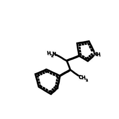 CC(c1ccccc1)C(N)c1cc[nH]c1